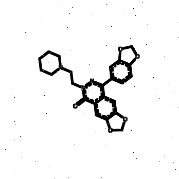 O=c1c2cc3c(cc2c(-c2ccc4c(c2)OCO4)nn1CCN1CCCCC1)OCO3